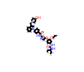 CCCOc1cc(NC(=O)NC(CC)CC)ccc1Oc1cnc(NC(=O)c2ccc(-n3cc(CN4CCC(O)CC4)c4ccccc43)cc2)s1